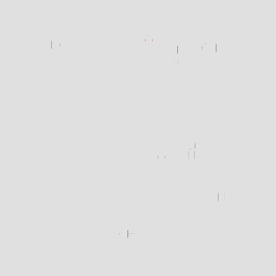 CCCO[SiH](C)CC[SiH](CC)OCCC